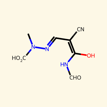 CN(N=CC(C#N)=C(O)NC=O)C(=O)O